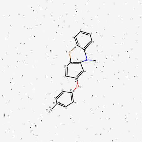 CN1c2ccccc2Sc2ccc(Oc3ccc([N+](=O)[O-])cc3)cc21